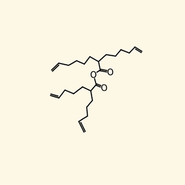 C=CCCCCC(CCCCC=C)C(=O)OC(=O)C(CCCC=C)CCCC=C